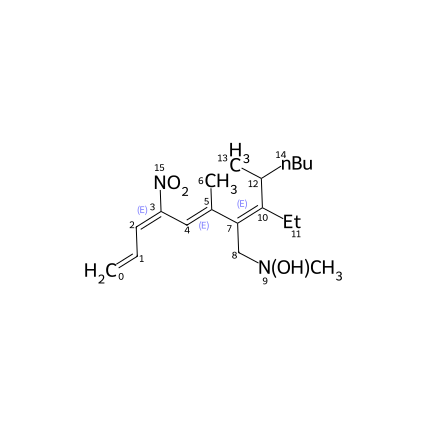 C=C\C=C(/C=C(C)/C(CN(C)O)=C(/CC)C(C)CCCC)[N+](=O)[O-]